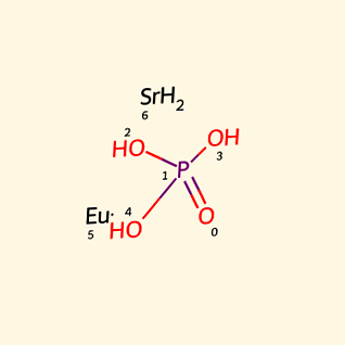 O=P(O)(O)O.[Eu].[SrH2]